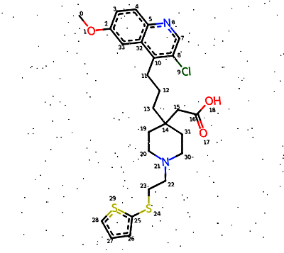 COc1ccc2ncc(Cl)c(CCCC3(CC(=O)O)CCN(CCSc4cccs4)CC3)c2c1